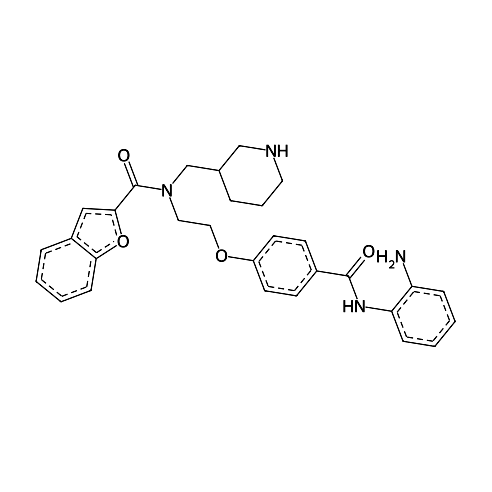 Nc1ccccc1NC(=O)c1ccc(OCCN(CC2CCCNC2)C(=O)c2cc3ccccc3o2)cc1